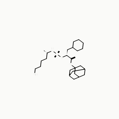 NCCCC[C@H](NS(=O)(=O)N[C@@H](CC1CCCCC1)C(=O)NC12CC3CC(CC(C3)C1)C2)C(=O)O